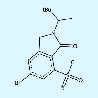 CC(N1Cc2cc(Br)cc(S(=O)(=O)Cl)c2C1=O)C(C)(C)C